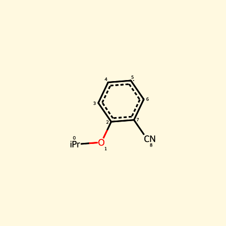 CC(C)Oc1cc[c]cc1C#N